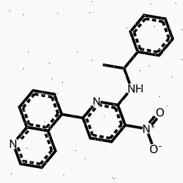 CC(Nc1nc(-c2cccc3ncccc23)ccc1[N+](=O)[O-])c1ccccc1